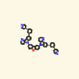 c1cc(-c2ccncc2)cc(-c2ccc3c(c2)c2ncccc2n3-c2ccc3oc4ccc(-n5c6ccc(-c7cccc(-c8ccncc8)c7)cc6c6ncccc65)cc4c3c2)c1